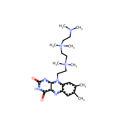 Cc1cc2nc3c(=O)[nH]c(=O)nc-3n(CC[N+](C)(C)CC[N+](C)(C)CCN(C)C)c2cc1C